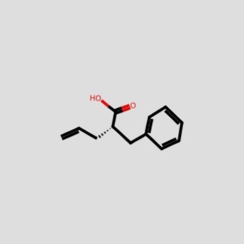 C=CC[C@@H](Cc1ccccc1)C(=O)O